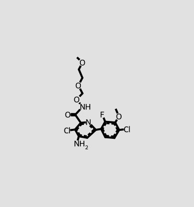 COCCOCONC(=O)c1nc(-c2ccc(Cl)c(OC)c2F)cc(N)c1Cl